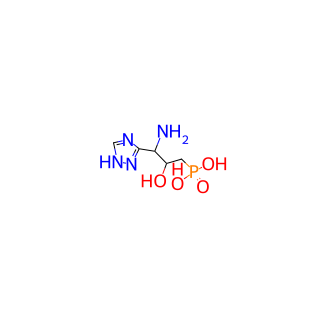 NC(c1nc[nH]n1)C(O)CP(=O)(O)O